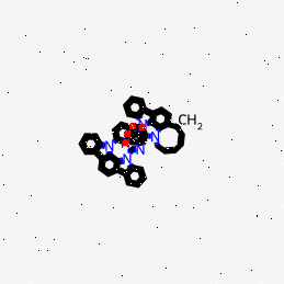 C=C1/C=C\C=C/CN(c2ccccc2)c2c1ccc1c3ccccc3n(-c3cnc(-n4c5ccccc5c5ccc6c7ccccc7n(-c7ccccc7)c6c54)nc3)c21